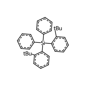 CC(C)(C)c1ccccc1[Si](c1ccccc1)(c1ccccc1)c1ccccc1C(C)(C)C